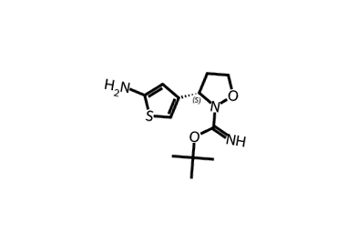 CC(C)(C)OC(=N)N1OCC[C@H]1c1csc(N)c1